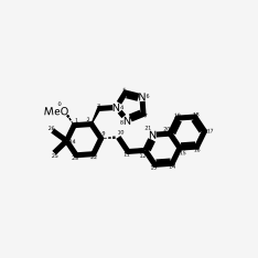 CO[C@@H]1[C@@H](Cn2cncn2)[C@H](CCc2ccc3ccccc3n2)CCC1(C)C